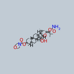 CC(C)[C@@H](OC(N)=O)[C@H]1C[C@@H](C)[C@H]2[C@H](O1)[C@H](O)[C@@]1(C)[C@@H]3CC[C@H]4C(C)(C)[C@@H](OC(=O)N5CCOCC5)CC[C@@]45C[C@@]35CC[C@]21C